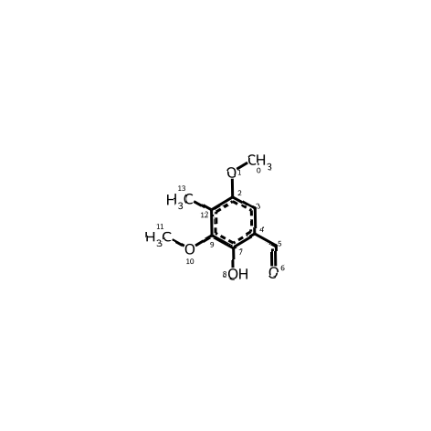 COc1cc(C=O)c(O)c(OC)c1C